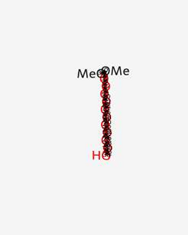 COC(COCCOCCOCCOCCOCCOCCOCCOCCOCCOCCO)OC